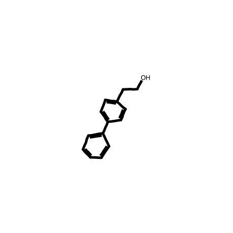 OCCc1ccc(-c2ccccc2)cc1